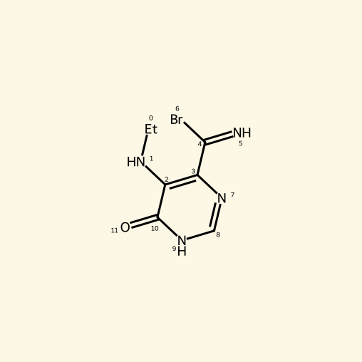 CCNc1c(C(=N)Br)nc[nH]c1=O